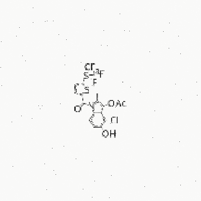 CC(=O)Oc1c(C)n(C(=O)c2ccc(SC(F)(F)C(F)(F)F)s2)c2ccc(O)c(Cl)c12